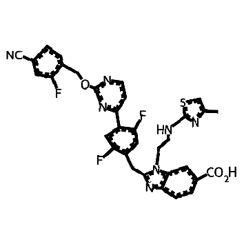 Cc1csc(NCCn2c(Cc3cc(F)c(-c4ccnc(OCc5ccc(C#N)cc5F)n4)cc3F)nc3ccc(C(=O)O)cc32)n1